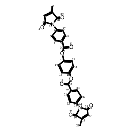 CC1=CC(=O)N(c2ccc(C(=O)Oc3ccc(OC(=O)c4ccc(N5C(=O)C=C(C)C5=O)cc4)cc3)cc2)C1=O